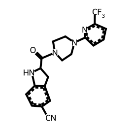 N#Cc1ccc2c(c1)CC(C(=O)N1CCN(c3cccc(C(F)(F)F)n3)CC1)N2